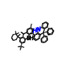 Cc1cc(-c2cccc3c2Nc2ccccc2C3(c2ccccc2)c2ccccc2)c2c(c1)C(C)c1c(cc(C(C)(C)C)cc1C1(C)CCCCC1(C)C)B2